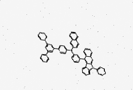 C1=CCC(c2cc(-c3ccccc3)cc(-c3ccc(N(c4cccc(-c5c6ccccc6cc6c5c5ccccc5n6C5=CCCC=C5)c4)c4ccc5ccccc5c4)cc3)c2)C=C1